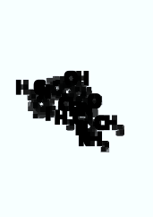 Cc1cc(N)nc(C)c1CNC(=O)c1ccc2c(c1)[C@H](C)c1cc(N(C)c3cccc(F)c3)ccc1[C@@H]2O